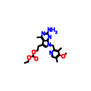 CCOC(=O)OCCc1cn(Cc2ncc(C)c(OC)c2C)c2nc(N)nc(C)c12